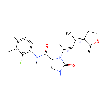 C=C1OCC/C1=C(/C=C(\C)N1C(=O)NCC1C(=O)N(C)c1ccc(C)c(C)c1F)C(F)(F)F